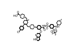 CN1CCC(Nc2ccc(S(=O)(=O)NC(=O)c3ccc(N4CCN(CC5=C(c6ccc(Cl)cc6)CCC(C)(CN6CCN(C(=O)O)CC6)C5)CC4)cc3Oc3cnc4[nH]ccc4c3)cc2S(=O)(=O)C(F)(F)F)CC1